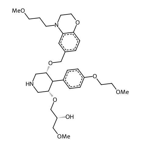 COCCCN1CCOc2ccc(CO[C@H]3CNC[C@@H](OC[C@H](O)COC)C3c3ccc(OCCOC)cc3)cc21